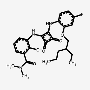 CCCC(CC)COc1cc(F)ccc1Nc1c(Nc2cccc(C(=O)N(C)C)c2O)c(=O)c1=O